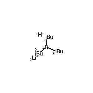 CCC(C)B(C(C)CC)C(C)CC.[H-].[Li+]